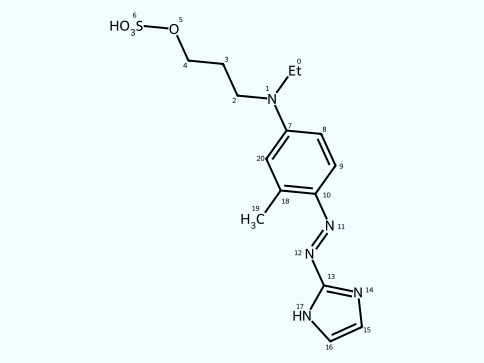 CCN(CCCOS(=O)(=O)O)c1ccc(N=Nc2ncc[nH]2)c(C)c1